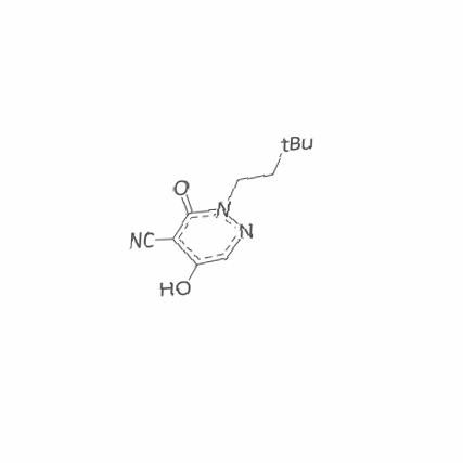 CC(C)(C)CCn1ncc(O)c(C#N)c1=O